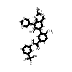 Cc1ccc(C(=O)Nc2cccc(C(F)(F)F)c2)cc1-c1cc2cnc(N)nc2c(-c2cncnc2)c1O